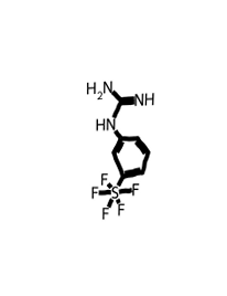 N=C(N)Nc1cccc(S(F)(F)(F)(F)F)c1